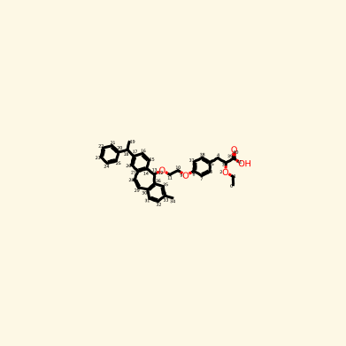 CCOC(Cc1ccc(OCCOC2c3ccc(C(C)c4ccccc4)cc3C=Cc3ccc(C)cc32)cc1)C(=O)O